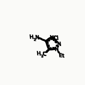 CCn1ncc(N)c1C.Cl